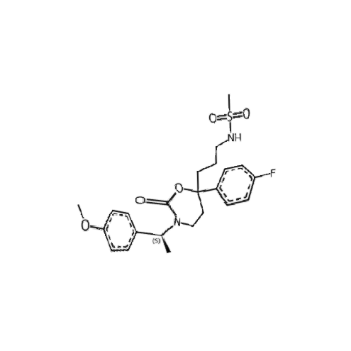 COc1ccc([C@H](C)N2CCC(CCCNS(C)(=O)=O)(c3ccc(F)cc3)OC2=O)cc1